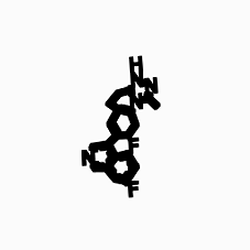 CC1=NNC2CCC3=C(C[C@H](F)C(c4cncc5cc(F)ccc45)=C3)N12